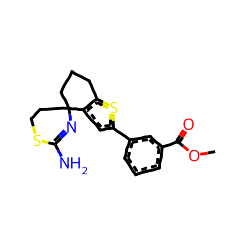 COC(=O)c1cccc(-c2cc3c(s2)CCCC32CCSC(N)=N2)c1